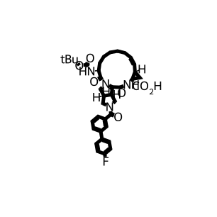 CC(C)(C)OC(=O)N[C@@H]1CCCCC/C=C\[C@H]2C[C@@]2(C(=O)O)NC(=O)[C@@H]2[C@H]3CN(C(=O)c4cccc(-c5ccc(F)cc5)c4)C[C@H]3CN2C1=O